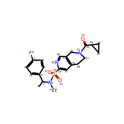 CCN(C(C)c1ccc(F)cc1)S(=O)(=O)c1cc2c(cn1)CN(C(=O)C1CC1)CC2